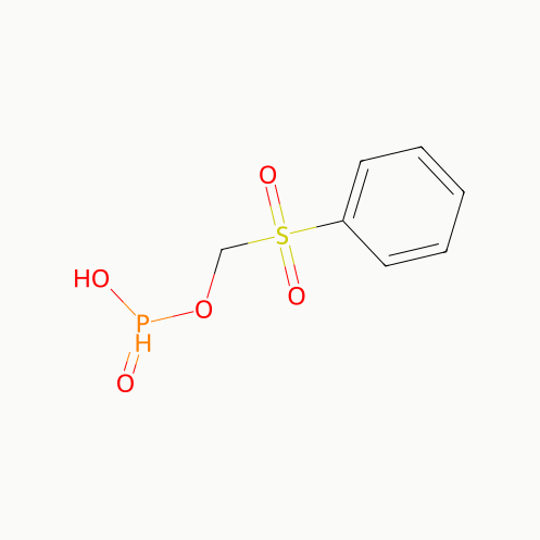 O=[PH](O)OCS(=O)(=O)c1ccccc1